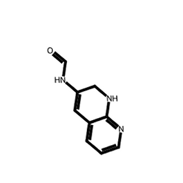 O=CNC1=Cc2cccnc2NC1